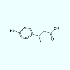 CC(CC(=O)O)c1ccc(S)cc1